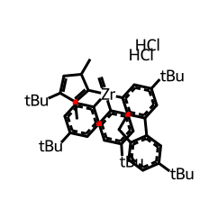 Cl.Cl.[CH2]=[Zr]([C]1=C(C)C(C(C)(C)C)=CC1C)([c]1ccc(C(C)(C)C)cc1)([c]1ccc(C(C)(C)C)cc1)[c]1cc(C(C)(C)C)cc2c1Cc1ccc(C(C)(C)C)cc1-2